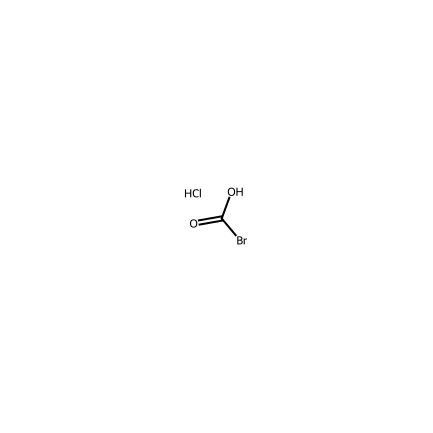 Cl.O=C(O)Br